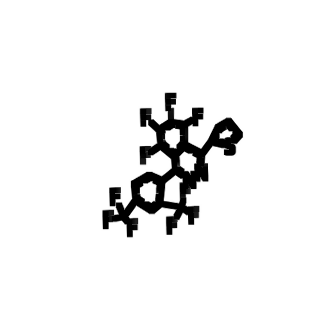 Fc1c(F)c(F)c2c(-c3ccc(C(F)(F)F)cc3C(F)(F)F)nnc(-c3cccs3)c2c1F